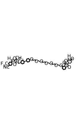 CC1(C)CN(Cc2ccc(-c3ccc(OCCOCCOCCOCCOCCOCCOc4cccc5c4C(=O)N(C4CCC(=O)NC4=O)C5=O)cc3)cc2F)C(=O)C1Oc1ccc(C#N)c(C(F)(F)F)c1